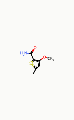 Cc1cc(OC(F)(F)F)c(C(N)=O)s1